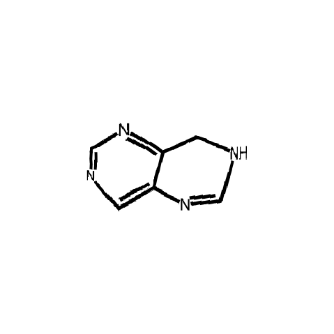 C1=Nc2cncnc2CN1